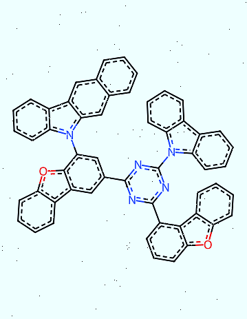 c1ccc2cc3c(cc2c1)c1ccccc1n3-c1cc(-c2nc(-c3cccc4oc5ccccc5c34)nc(-n3c4ccccc4c4ccccc43)n2)cc2c1oc1ccccc12